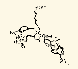 CCCCCCCCCCCCCCCCCOC(C[C@H](COP(=O)(O)O)OCc1ccc(C#N)cc1)C[C@H]1O[C@@](C#N)(c2ccc3c(N)ncnn23)[C@H](O)[C@@H]1O